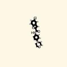 O=C(Nc1ccc(N2CCOCC2)cc1)c1cc2cc(Cl)ccc2o1